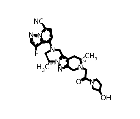 C[C@@H]1CN(c2ccc(C#N)n3ncc(F)c23)Cc2c3c(nn21)CN(CC(=O)N1CCC(O)C1)[C@@H](C)C3